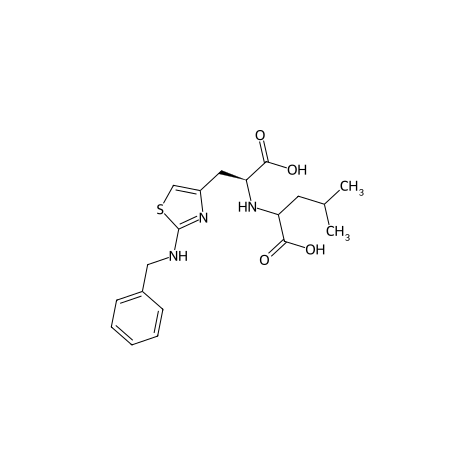 CC(C)CC(N[C@@H](Cc1csc(NCc2ccccc2)n1)C(=O)O)C(=O)O